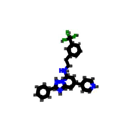 FC(F)(F)c1cccc(CCNc2cc(-c3ccncc3)cc3nc(-c4ccccc4)nn23)c1